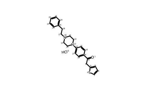 Cl.O=C(Cc1cccs1)c1ccc(N2CCN(CCc3ccccc3)CC2)cc1